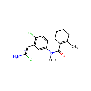 CC1=C(C(=O)N(C=O)c2ccc(Cl)c(/C=C(/N)Cl)c2)CCCC1